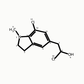 CN1CCc2cc(CC(O)Cl)cc(Cl)c21